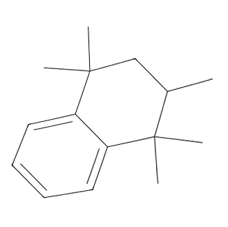 CC1CC(C)(C)c2ccccc2C1(C)C